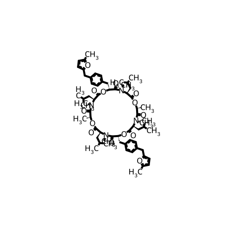 Cc1ccc(Cc2ccc(C[C@H]3OC(=O)[C@H](CC(C)C)N(C)C(=O)[C@@H](C)OC(=O)[C@H](CC(C)C)N(C)C(=O)[C@@H](Cc4ccc(Cc5ccc(C)o5)cc4)OC(=O)[C@H](CC(C)C)N(C)C(=O)[C@@H](C)OC(=O)[C@H](CC(C)C)N(C)C3=O)cc2)o1